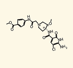 COC(=O)c1ccc(NC(=O)CN2CC[C@@H](NC(=O)c3cc(Cl)c(N)[nH]c3=O)[C@@H](OC)C2)cc1